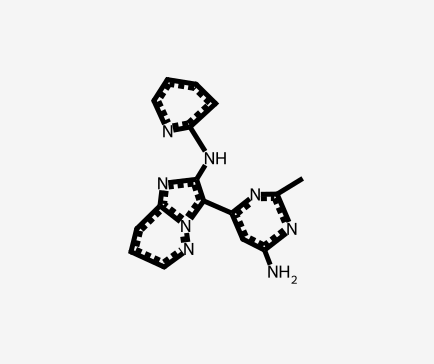 Cc1nc(N)cc(-c2c(Nc3ccccn3)nc3cccnn23)n1